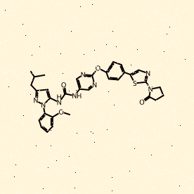 COc1ccccc1-n1nc(CC(C)C)cc1NC(=O)Nc1cnc(Oc2ccc(-c3cnc(N4CCCC4=O)s3)cc2)nc1